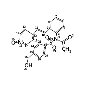 CC(=O)N(c1ccccc1/C=C/c1cc[n+]([O-])cc1)S(=O)(=O)c1ccc(CO)cc1